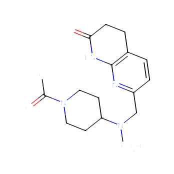 O=C1CCc2ccc(CN(C(=O)O)C3CCN(C(=O)C(F)(F)F)CC3)nc2N1